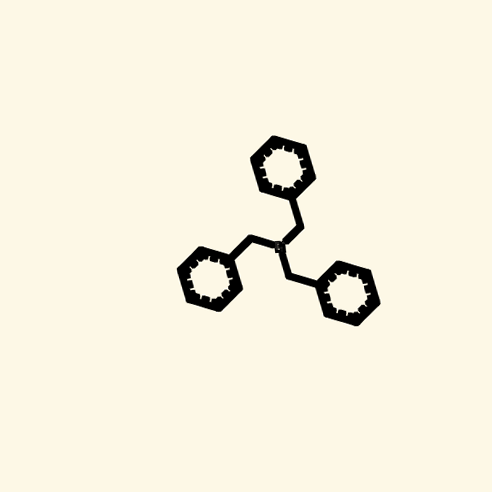 c1ccc([CH2][Bi]([CH2]c2ccccc2)[CH2]c2ccccc2)cc1